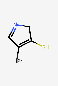 CC(C)C1=C(S)CN=C1